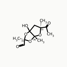 CC(=O)[C@]1(C)CC2(O)O[C@](C)(C=O)O[C@@]2(C)O1